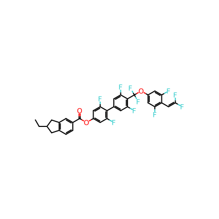 CCC1Cc2ccc(C(=O)Oc3cc(F)c(-c4cc(F)c(C(F)(F)Oc5cc(F)c(C=C(F)F)c(F)c5)c(F)c4)c(F)c3)cc2C1